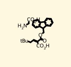 CC(C)(C)CC=C(C(=O)O)C(=O)OCC1c2ccccc2-c2ccccc21.NCC(=O)O